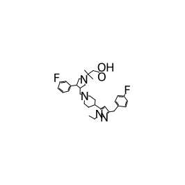 CCn1nc(Cc2ccc(F)cc2)cc1C1CCN(CC2CN(C(C)(C)CC(=O)O)CC2c2cccc(F)c2)CC1